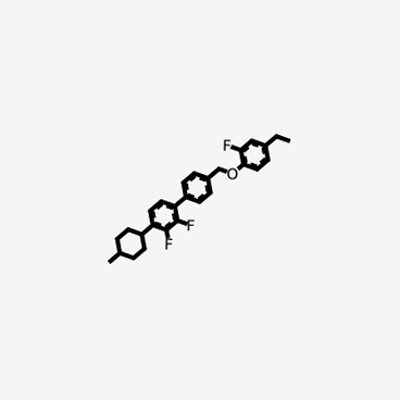 CCc1ccc(OCc2ccc(-c3ccc(C4CCC(C)CC4)c(F)c3F)cc2)c(F)c1